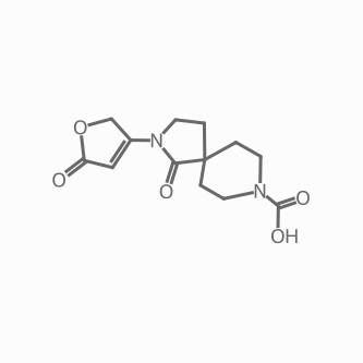 O=C1C=C(N2CCC3(CCN(C(=O)O)CC3)C2=O)CO1